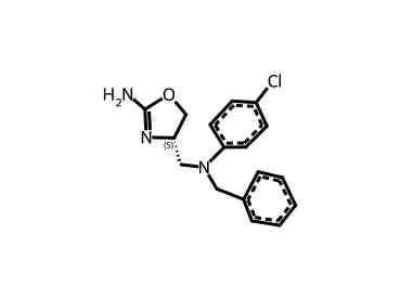 NC1=N[C@@H](CN(Cc2ccccc2)c2ccc(Cl)cc2)CO1